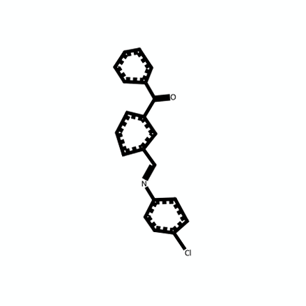 O=C(c1ccccc1)c1cccc(C=Nc2ccc(Cl)cc2)c1